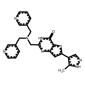 Cc1[nH]ncc1-c1cc2nc(CN(Cc3cccnc3)Cc3cccnc3)[nH]c(=O)c2s1